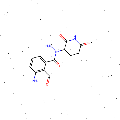 Nc1cccc(C(=O)N(N)C2CCC(=O)NC2=O)c1C=O